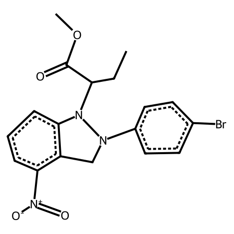 CCC(C(=O)OC)N1c2cccc([N+](=O)[O-])c2CN1c1ccc(Br)cc1